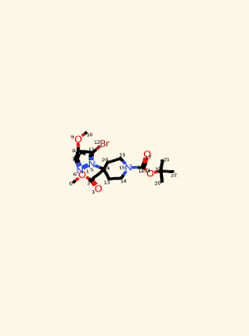 COC(=O)C1(n2ncc(OC)c2Br)CCN(C(=O)OC(C)(C)C)CC1